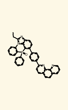 CCc1nc2ccc(-c3ccc(-c4ccc5ccc6cccnc6c5n4)cc3)c3c2n1-c1ccccc1P3(=O)c1ccccc1